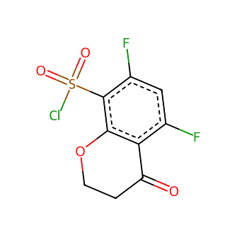 O=C1CCOc2c1c(F)cc(F)c2S(=O)(=O)Cl